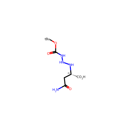 CC(C)(C)OC(=O)NNN[C@@H](CC(N)=O)C(=O)O